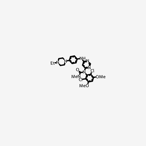 CCN1CCN(c2ccc(Nc3cc(N(C(=O)NC)c4c(Cl)c(OC)cc(OC)c4Cl)ncn3)cc2)CC1